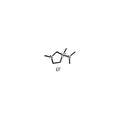 CN1CC[N+](C)(N(C)C)C1.[Cl-]